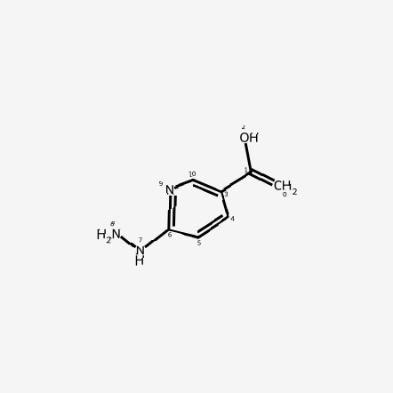 C=C(O)c1ccc(NN)nc1